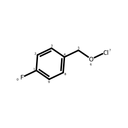 Fc1ccc(COCl)cc1